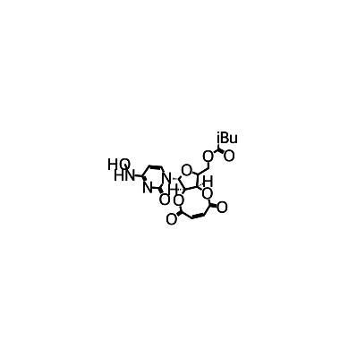 CC[C@H](C)C(=O)OCC1O[C@@H](n2ccc(NO)nc2=O)[C@@H]2OC(=O)/C=C\C(=O)O[C@H]12